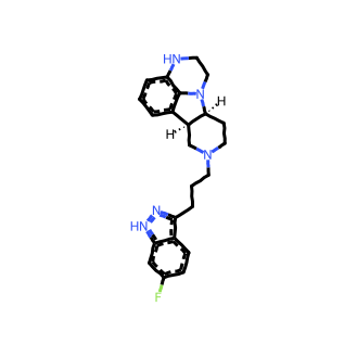 Fc1ccc2c(CCCN3CC[C@H]4[C@@H](C3)c3cccc5c3N4CCN5)n[nH]c2c1